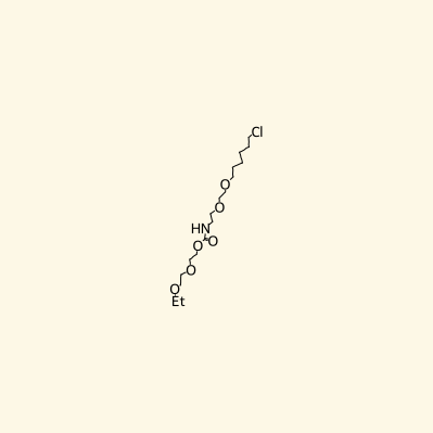 CCOCCOCCOC(=O)NCCOCCOCCCCCCCl